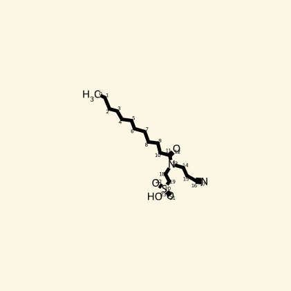 CCCCCCCCCCCC(=O)N(CCC#N)CCS(=O)(=O)O